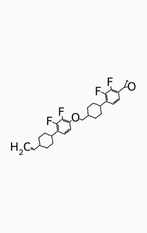 C=CC1CCC(c2ccc(OCC3CCC(c4ccc(C5CO5)c(F)c4F)CC3)c(F)c2F)CC1